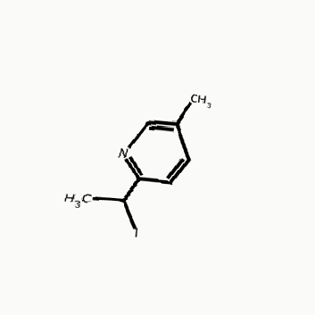 Cc1ccc(C(C)I)nc1